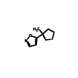 CC1(c2ccno2)CCCC1